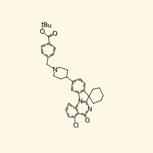 CC(C)(C)OC(=O)c1ccc(CN2CCC(c3ccc4c(c3)-n3c(nc(=O)c5c(Cl)cccc53)C43CCCCC3)CC2)cc1